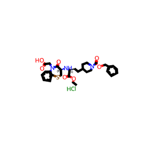 CCOC(=O)[C@H](CCC1CCN(C(=O)OCc2ccccc2)CC1)N[C@H]1CSc2ccccc2N(CC(=O)O)C1=O.Cl